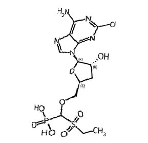 CCS(=O)(=O)C(OC[C@@H]1C[C@@H](O)[C@H](n2cnc3c(N)nc(Cl)nc32)O1)P(=O)(O)O